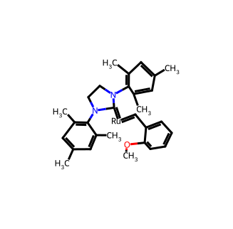 COc1ccccc1[CH]=[Ru]=[C]1N(c2c(C)cc(C)cc2C)CCN1c1c(C)cc(C)cc1C